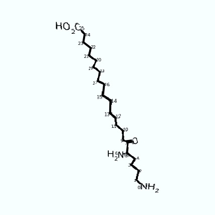 NCCCC[C@H](N)C(=O)CCCCCCCCCCCCCCCCC(=O)O